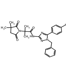 CC1(C)CC(=O)N(C(C)(C)C(=O)Nc2nc(-c3ccc(F)cc3)n(Cc3ccccc3)n2)C1=O